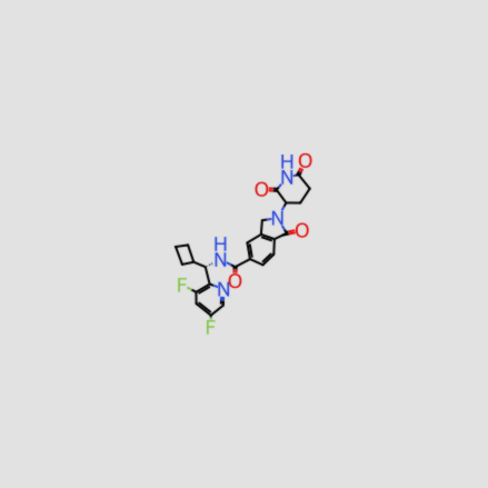 O=C1CCC(N2Cc3cc(C(=O)N[C@H](c4ncc(F)cc4F)C4CCC4)ccc3C2=O)C(=O)N1